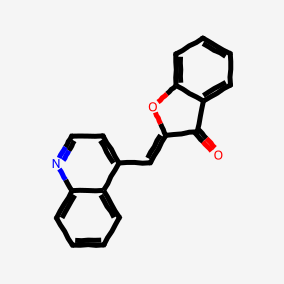 O=C1/C(=C/c2ccnc3ccccc23)Oc2ccccc21